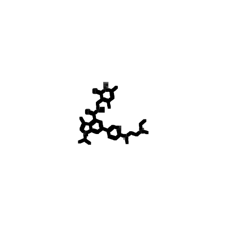 CCN(C)CCN(C)c1ccc(-c2cc(C(=O)NCc3c(C)cc(C)[nH]c3=O)c3c(C)cn(C(C)C)c3c2)cn1